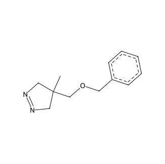 CC1(COCc2ccccc2)CN=NC1